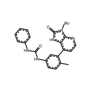 CCC(C)n1c(=O)[nH]c2c(-c3cc(NC(=O)Nc4ccccc4)ccc3C)ccnc21